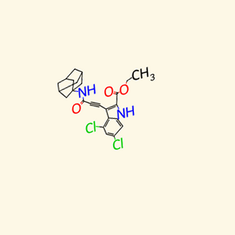 CCOC(=O)c1[nH]c2cc(Cl)cc(Cl)c2c1C#CC(=O)NC12CC3CC(CC(C3)C1)C2